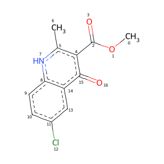 COC(=O)c1c(C)[nH]c2ccc(Cl)cc2c1=O